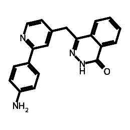 Nc1ccc(-c2cc(Cc3n[nH]c(=O)c4ccccc34)ccn2)cc1